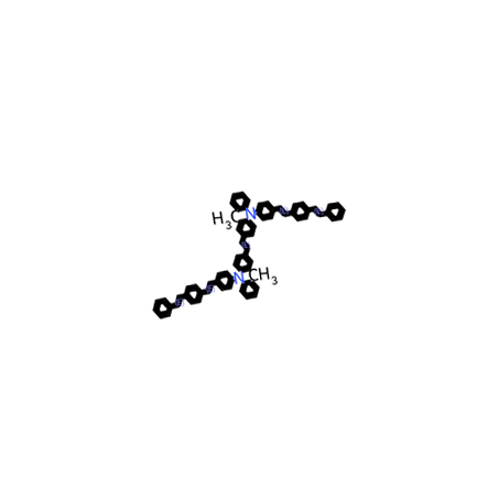 Cc1ccccc1N(c1ccc(/C=C/c2ccc(/C=C/c3ccccc3)cc2)cc1)c1ccc(/C=C/c2ccc(N(c3ccc(/C=C/c4ccc(/C=C/c5ccccc5)cc4)cc3)c3ccccc3C)cc2)cc1